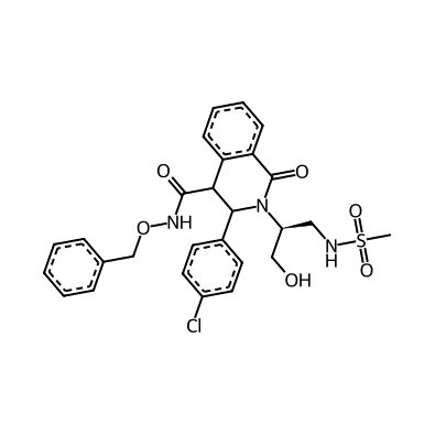 CS(=O)(=O)NC[C@@H](CO)N1C(=O)c2ccccc2C(C(=O)NOCc2ccccc2)C1c1ccc(Cl)cc1